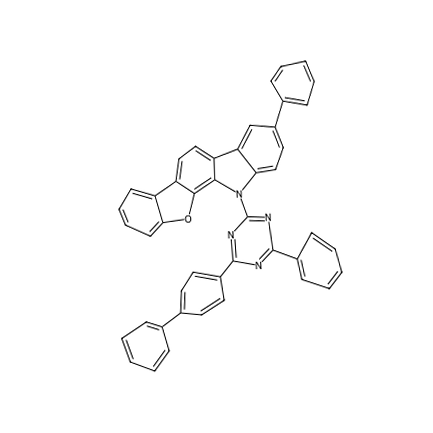 c1ccc(-c2ccc(-c3nc(-c4ccccc4)nc(-n4c5ccc(-c6ccccc6)cc5c5ccc6c7ccccc7oc6c54)n3)cc2)cc1